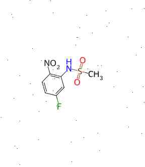 CS(=O)(=O)Nc1cc(F)ccc1[N+](=O)[O-]